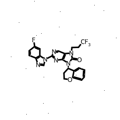 O=c1n(CCC(F)(F)F)c2cnc(-n3cnc4ccc(F)cc43)nc2n1[C@@H]1CCOc2ccccc21